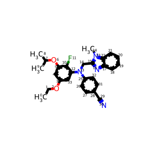 CCOc1cc(OC(C)C)c(F)c(N(Cc2nc3ccccc3n2C)c2ccc(C#N)cc2)c1